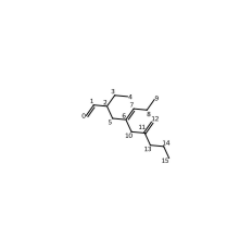 C=CC(CC)CC(=CCC)CC(=C)CCC